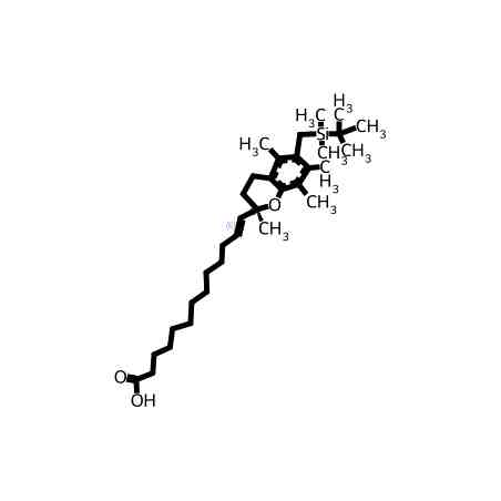 Cc1c(C)c2c(c(C)c1C[Si](C)(C)C(C)(C)C)CC[C@@](C)(/C=C/CCCCCCCCCCC(=O)O)O2